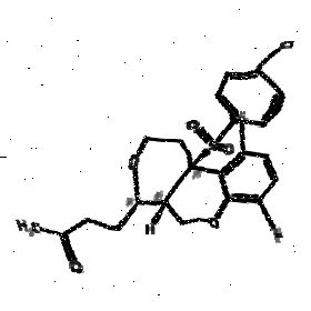 CC(=O)CC[C@H]1OCC[C@]2(S(=O)(=O)c3ccc(Cl)cc3)c3c(F)ccc(F)c3OC[C@H]12